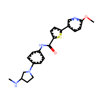 CNC1CCN(c2ccc(NC(=O)c3ccc(-c4ccc(OC)nc4)s3)cc2)C1